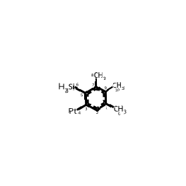 Cc1c[c]([Pt])c([SiH3])c(C)c1C